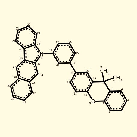 CC1(C)c2ccccc2Oc2ccc(-c3cccc(-n4c5ccccc5c5cc6ccccc6cc54)c3)cc21